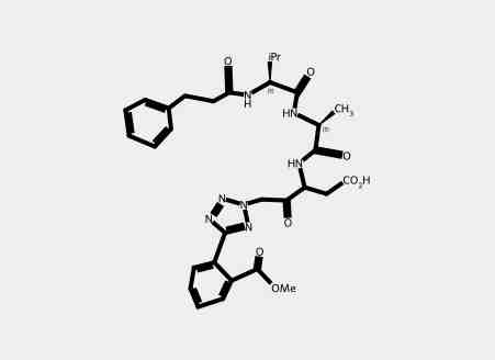 COC(=O)c1ccccc1-c1nnn(CC(=O)C(CC(=O)O)NC(=O)[C@H](C)NC(=O)[C@@H](NC(=O)CCc2ccccc2)C(C)C)n1